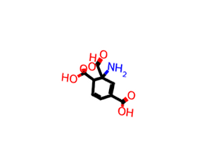 NC1(C(=O)O)C=C(C(=O)O)C=CC1C(=O)O